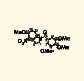 COc1cc(C(=O)n2ccc3c([N+](=O)[O-])c(OC)ccc32)cc(OC)c1OC